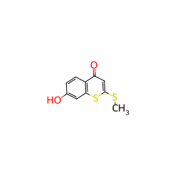 CSc1cc(=O)c2ccc(O)cc2s1